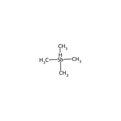 [CH3][SbH]([CH3])([CH3])[CH3]